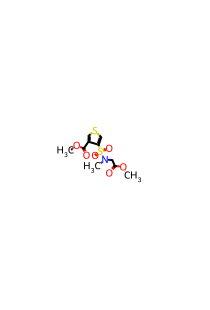 COC(=O)CN(C)S(=O)(=O)c1cscc1C(=O)OC